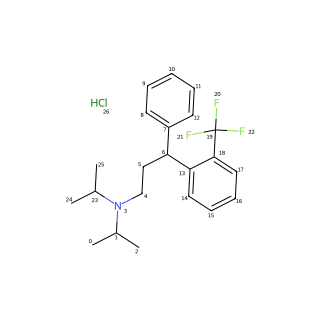 CC(C)N(CCC(c1ccccc1)c1ccccc1C(F)(F)F)C(C)C.Cl